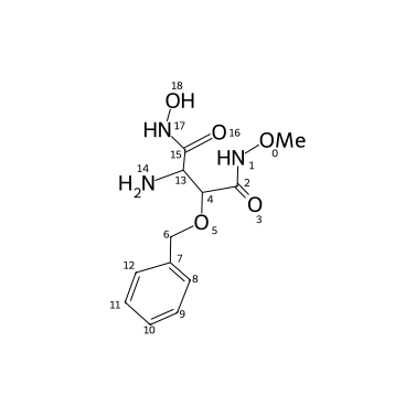 CONC(=O)C(OCc1ccccc1)C(N)C(=O)NO